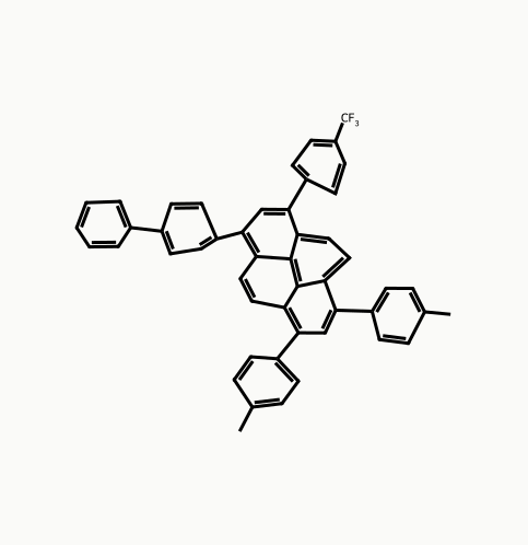 Cc1ccc(-c2cc(-c3ccc(C)cc3)c3ccc4c(-c5ccc(C(F)(F)F)cc5)cc(-c5ccc(-c6ccccc6)cc5)c5ccc2c3c54)cc1